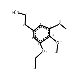 CCOc1cc(CCN)cc(SC)c1OC